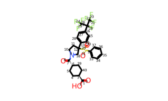 O=C(O)[C@H]1CC[C@H](C(=O)N2CCC(c3ccc(C(F)(C(F)(F)F)C(F)(F)F)cc3)(S(=O)(=O)c3ccccc3)C2)CC1